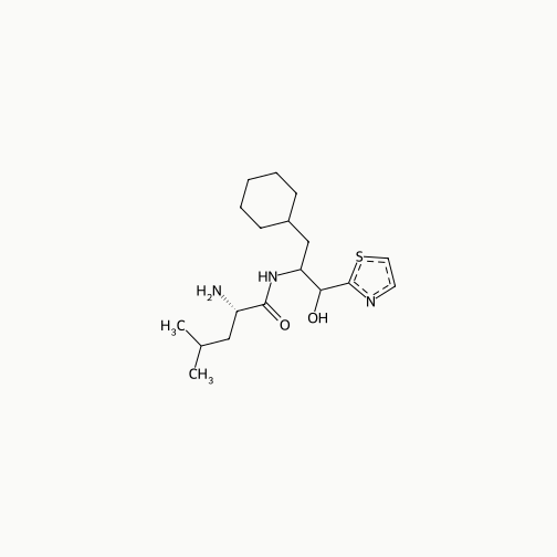 CC(C)C[C@H](N)C(=O)NC(CC1CCCCC1)C(O)c1nccs1